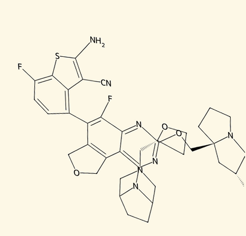 N#Cc1c(N)sc2c(F)ccc(-c3c4c(c5c(N6C7CCC6CN(C[C@H]6CCO6)C7)nc(OC[C@@]67CCCN6C[C@H](F)C7)nc5c3F)COC4)c12